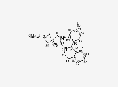 N#CC1CC2(CN=C(N3CCc4ccccc4C3c3ccc(F)cc3)O2)C1